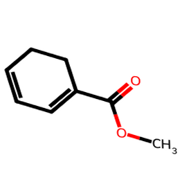 COC(=O)C1=CC=CCC1